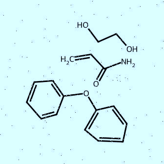 C=CC(N)=O.OCCO.c1ccc(Oc2ccccc2)cc1